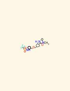 CN(C(=O)[C@@H](N)C1CCC(COCc2cccc(NS(=O)(=O)CC(F)(F)F)c2)CC1)C1CCC1